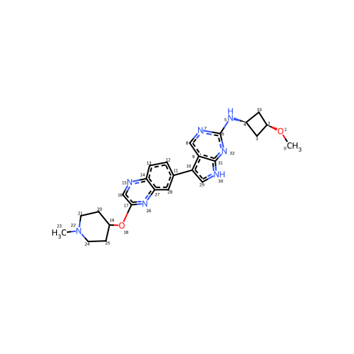 CO[C@H]1C[C@@H](Nc2ncc3c(-c4ccc5ncc(OC6CCN(C)CC6)nc5c4)c[nH]c3n2)C1